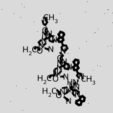 C=CC(=O)N1CCN(c2nc(NC[C@@H]3CC(c4cc(N5CCc6c(nc(OCCN7CCCC(c8cc(N9CCc%10c(nc(OC[C@@H]%11CCN(C)C%11)nc%10N%10CCN(C(=O)C=C)[C@@H](CC#N)C%10)C9)c9ccccc9c8)C7)nc6N6CCN(C(=O)C=C)[C@@H](CC#N)C6)C5)c5ccccc5c4)CN3C)nc3c2CCN(c2cccc4ccccc24)C3)C[C@@H]1CC#N